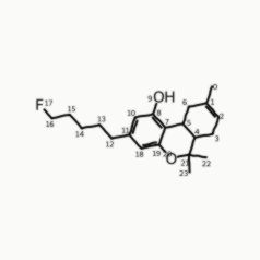 CC1=CCC2C(C1)c1c(O)cc(CCCCCF)cc1OC2(C)C